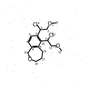 COCC(Cl)c1ccc2c(c1C(Cl)COC)CCCOC2